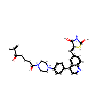 C=C(C)C(=O)CCCC(=O)N1CCN(c2ccc(-c3ccnc4ccc(/C=C5\SC(=O)NC5=O)cc34)cc2)CC1